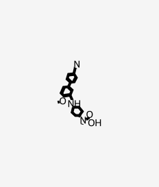 COc1ccc(-c2ccc(C#N)cc2)cc1CNC1CCC(N(C)C(=O)O)CC1